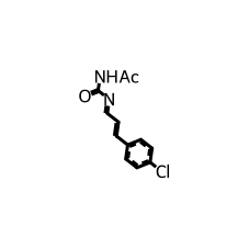 CC(=O)NC(=O)N=CC=Cc1ccc(Cl)cc1